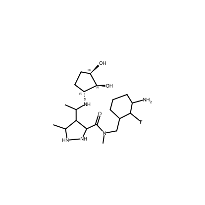 CC1NNC(C(=O)N(C)CC2CCCC(N)C2F)C1C(C)N[C@@H]1CC[C@@H](O)[C@H]1O